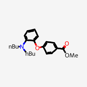 CCCCN(CCCC)c1ccccc1Oc1ccc(C(=O)OC)cc1